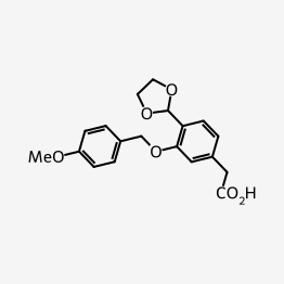 COc1ccc(COc2cc(CC(=O)O)ccc2C2OCCO2)cc1